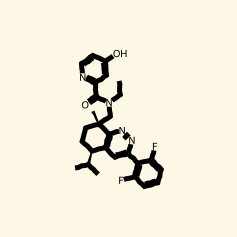 CCN(C[C@@]1(C)CC[C@H](C(C)C)c2cc(-c3c(F)cccc3F)nnc21)C(=O)c1cc(O)ccn1